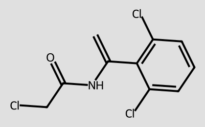 C=C(NC(=O)CCl)c1c(Cl)cccc1Cl